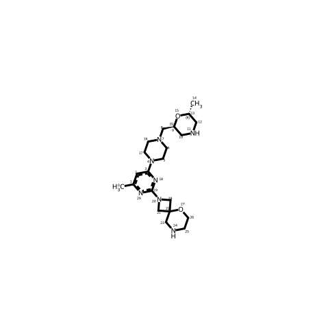 Cc1cc(N2CCN(C[C@@H]3CNC[C@@H](C)O3)CC2)nc(N2CC3(CNCCO3)C2)n1